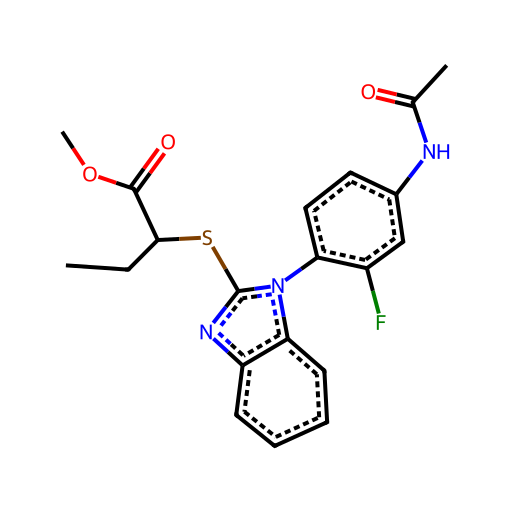 CCC(Sc1nc2ccccc2n1-c1ccc(NC(C)=O)cc1F)C(=O)OC